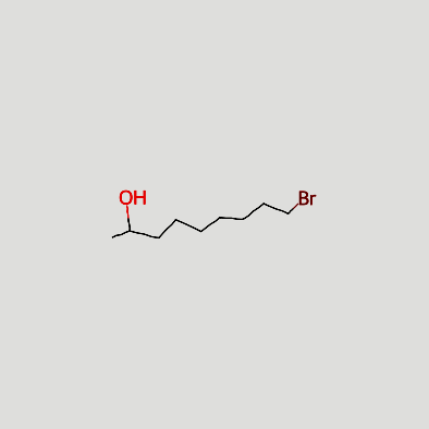 CC(O)CCCCCCCBr